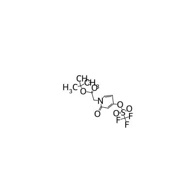 CC(C)(C)OC(=O)Cn1ccc(OS(=O)(=O)C(F)(F)F)cc1=O